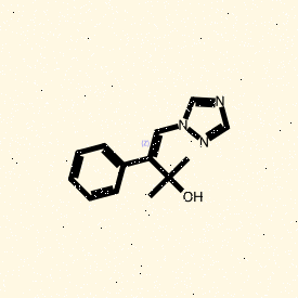 CC(C)(O)/C(=C\n1cncn1)c1ccccc1